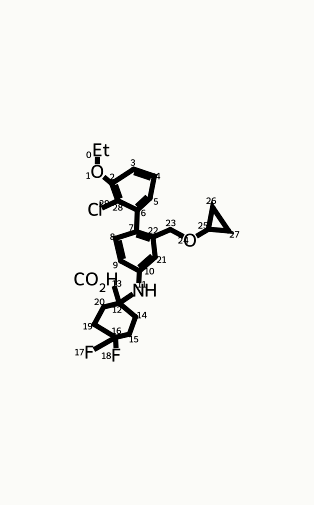 CCOc1cccc(-c2ccc(NC3(C(=O)O)CCC(F)(F)CC3)cc2COC2CC2)c1Cl